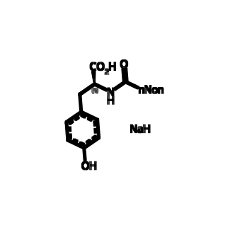 CCCCCCCCCC(=O)N[C@@H](Cc1ccc(O)cc1)C(=O)O.[NaH]